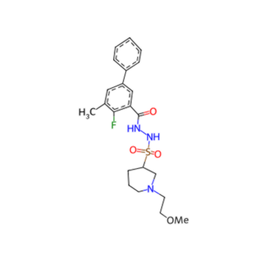 COCCN1CCCC(S(=O)(=O)NNC(=O)c2cc(-c3ccccc3)cc(C)c2F)C1